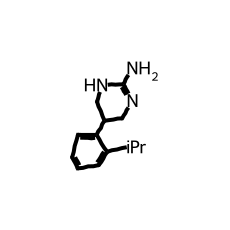 CC(C)c1ccccc1C1CN=C(N)NC1